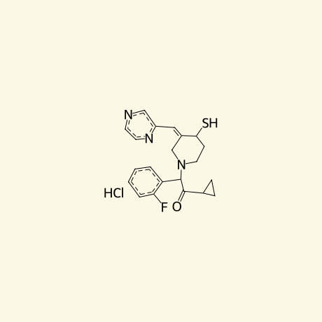 Cl.O=C(C1CC1)C(c1ccccc1F)N1CCC(S)C(=Cc2cnccn2)C1